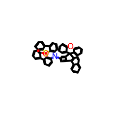 c1ccc2c(c1)Oc1ccccc1C21c2cc(N(c3cccc4c3oc3ccccc34)c3cccc4c3sc3ccccc34)ccc2-c2c1ccc1ccccc21